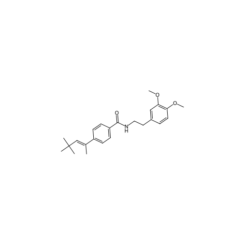 COc1ccc(CCNC(=O)c2ccc(/C(C)=C/C(C)(C)C)cc2)cc1OC